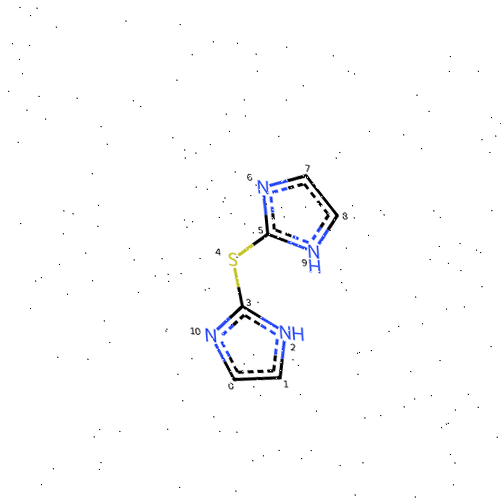 c1c[nH]c(Sc2ncc[nH]2)n1